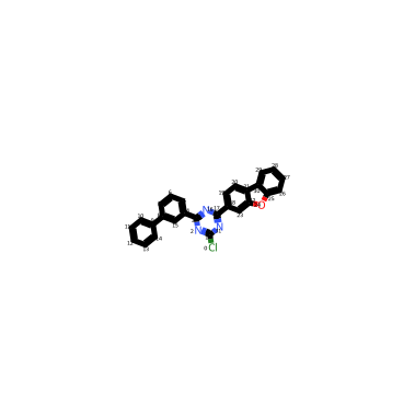 Clc1nc(-c2cccc(-c3ccccc3)c2)nc(-c2ccc3c(c2)oc2ccccc23)n1